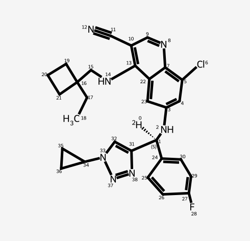 [2H][C@](Nc1cc(Cl)c2ncc(C#N)c(NCC3(CC)CCC3)c2c1)(c1ccc(F)cc1)c1cn(C2CC2)nn1